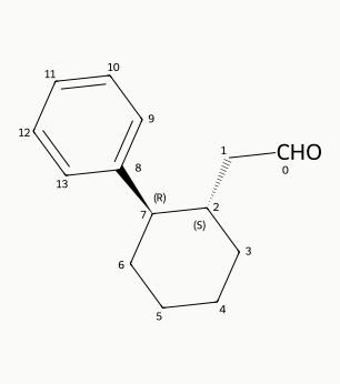 O=CC[C@@H]1CCCC[C@H]1c1ccccc1